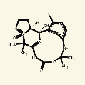 CC1(C)Nc2ccc(F)c(c2)[C@@]2(C)N=C(NC(=O)O1)C(C)(C)S1(=O)=NCC[C@@H]21